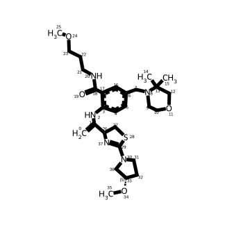 C=C(Nc1ccc(CN2CCOCC2(C)C)cc1C(=O)NCCCOC)C1CSC(N2CC[C@H](OC)C2)=N1